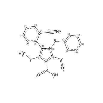 CCc1c(C(=O)O)c(C=O)n(Cc2ccccc2)c1-c1ccccc1C#N